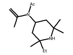 C=C(C)N(C(C)=O)C1CC(C)(C)NC(C)(CC)C1